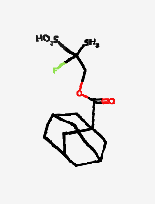 O=C(OCC(F)([SiH3])S(=O)(=O)O)C12CC3CC(CC(C3)C1)C2